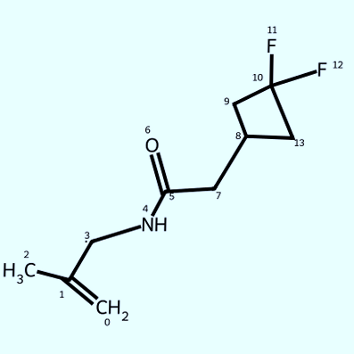 C=C(C)[CH]NC(=O)CC1CC(F)(F)C1